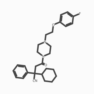 N#CC(CC(=O)N1CCN(CCOc2ccc(F)cc2)CC1)(c1ccccc1)C1CCCCC1